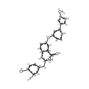 Cn1cc(-c2cc(Oc3ccc4nc(Cc5ccc(Cl)c(F)c5)[nH]c(=O)c4c3)ccn2)cn1